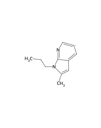 CCCn1c(C)cc2c[c]cnc21